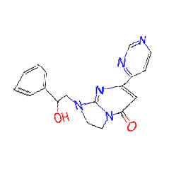 O=c1cc(-c2ccncn2)nc2n1CCN2CC(O)c1ccccc1